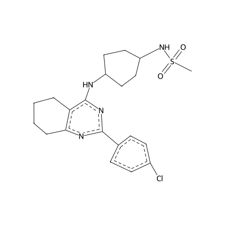 CS(=O)(=O)NC1CCC(Nc2nc(-c3ccc(Cl)cc3)nc3c2CCCC3)CC1